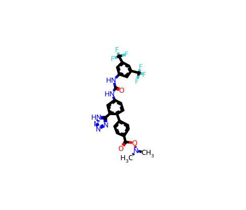 CN(C)OC(=O)c1ccc(-c2ccc(NC(=O)Nc3cc(C(F)(F)F)cc(C(F)(F)F)c3)cc2-c2nnn[nH]2)cc1